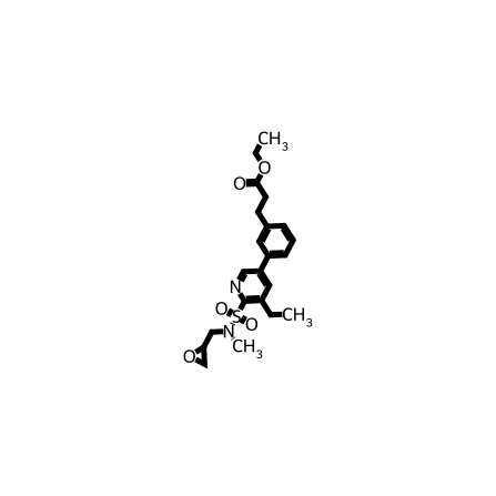 CCOC(=O)CCc1cccc(-c2cnc(S(=O)(=O)N(C)CC3CO3)c(CC)c2)c1